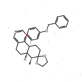 C[C@H]1[C@@H]2CCc3cncnc3[C@@]2(c2cccc(OCc3ccccc3)c2)CCC12OCCO2